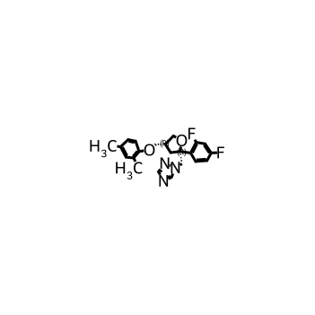 Cc1ccc(OC[C@@H]2CO[C@@](Cn3cncn3)(c3ccc(F)cc3F)C2)c(C)c1